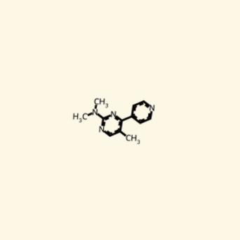 Cc1cnc(N(C)C)nc1-c1ccncc1